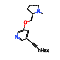 CCCCCCC#Cc1cncc(OC[C@H]2CCCN2C)c1